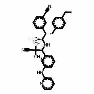 C[C@H](NC(c1cccc(Nc2ccccn2)c1)C(C)(C)C#N)[C@@H](Cc1ccc(CI)cc1)c1cccc(C#N)c1